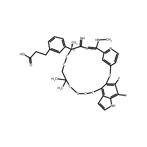 CN/C1=N\C(=N)[C@@](C)(c2cccc(CCC(=O)O)c2)CCCC(C)(C)CSCCc2c(c(F)c(F)c3[nH]ccc23)Sc2ccnc1c2